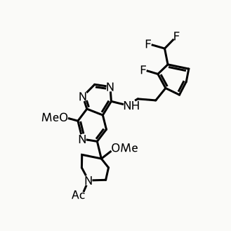 COc1nc(C2(OC)CCN(C(C)=O)CC2)cc2c(NCCc3cccc(C(F)F)c3F)ncnc12